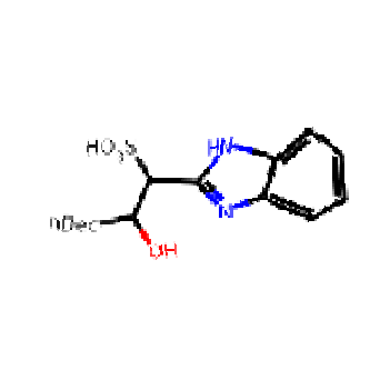 CCCCCCCCCCC(O)C(c1nc2ccccc2[nH]1)S(=O)(=O)O